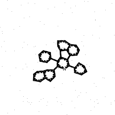 c1ccc(-c2nc(-c3ccc4ccccc4c3)c(-c3ccccc3)c3c2-c2cccc4cccc-3c24)cc1